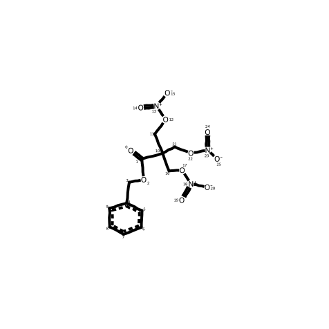 O=C(OCc1ccccc1)C(CO[N+](=O)[O-])(CO[N+](=O)[O-])CO[N+](=O)[O-]